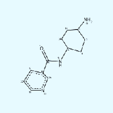 NC1CCC(NC(=O)c2cccnc2)CC1